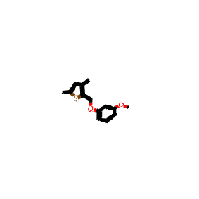 COc1cccc(OCc2sc(C)cc2C)c1